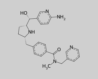 CN(Cc1cccnc1)C(=O)c1ccc(C[C@@H]2CC[C@H]([C@H](O)c3ccc(N)nc3)N2)cc1